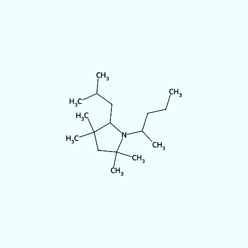 CCCC(C)N1C(CC(C)C)C(C)(C)CC1(C)C